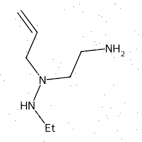 C=CCN(CCN)NCC